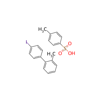 Cc1ccc(S(=O)(=O)O)cc1.Cc1ccccc1-c1ccc(I)cc1